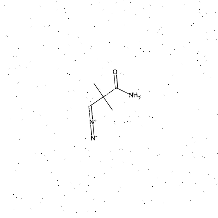 CC(C)(C=[N+]=[N-])C(N)=O